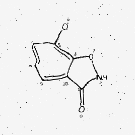 O=c1[nH]oc2c(Cl)cccc12